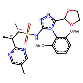 COc1cccc(OC)c1-n1c(NS(=O)(=O)[C@@H](C)[C@H](C)c2ncc(C)cn2)nnc1C1OCCO1